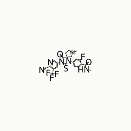 CNC(=O)c1ccc(N2C(=S)N(c3cnc(C#N)c(C(F)(F)F)c3)C(=O)C23CC[C@@H](C)C3)cc1F